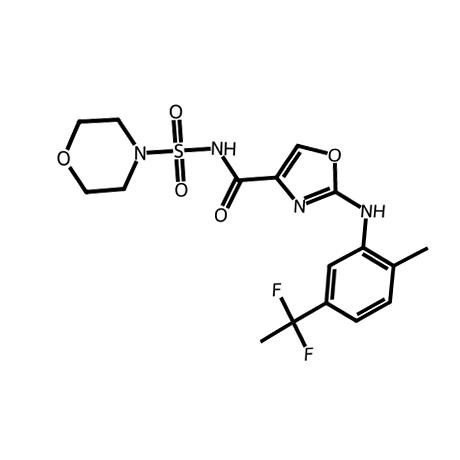 Cc1ccc(C(C)(F)F)cc1Nc1nc(C(=O)NS(=O)(=O)N2CCOCC2)co1